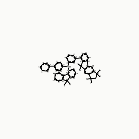 CC1(C)CC(C)(C)c2cc3c(cc21)-c1cccc(-c2cccc(N(c4ccc(-c5ccccc5)cc4)c4cccc5c4-c4ccccc4C5(C)C)c2)c1C3(C)C